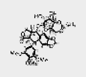 COc1cc([C@@H]2c3cc4c(cc3[C@@H](O[C@@H]3O[C@@H]5CO[C@@H](C)O[C@H]5[C@H](O)[C@H]3O)[C@H]3COC(=O)[C@H]23)OCO4)cc(OC)c1OC